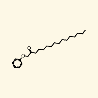 CCCCCCCCCCCCCCC(=O)COc1ccccc1